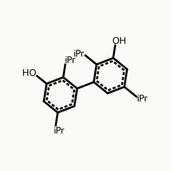 CC(C)c1cc(O)c(C(C)C)c(-c2cc(C(C)C)cc(O)c2C(C)C)c1